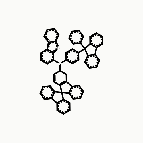 C1=CC(N(c2ccc(C3(c4ccccc4)c4ccccc4-c4ccccc43)cc2)c2cccc3c2oc2ccccc23)CC2=C1C1(c3ccccc32)c2ccccc2-c2ccccc21